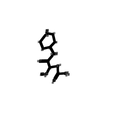 COC(OC(=O)C(F)(F)F)C(=O)NC1CCNCC1